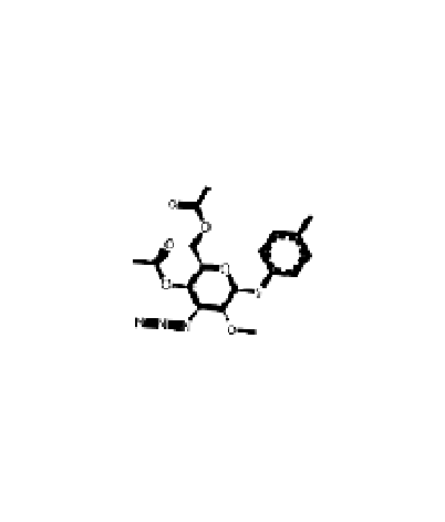 CO[C@@H]1[C@@H](N=[N+]=[N-])[C@@H](OC(C)=O)[C@@H](COC(C)=O)O[C@H]1Sc1ccc(C)cc1